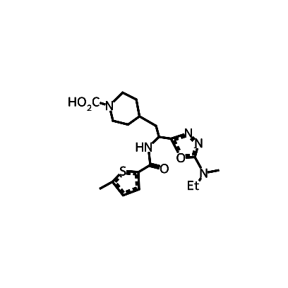 CCN(C)c1nnc(C(CC2CCN(C(=O)O)CC2)NC(=O)c2ccc(C)s2)o1